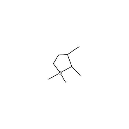 CC1CC[Si](C)(C)C1C